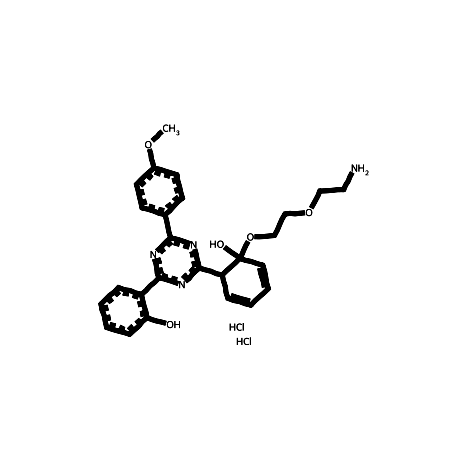 COc1ccc(-c2nc(-c3ccccc3O)nc(C3C=CC=CC3(O)OCCOCCN)n2)cc1.Cl.Cl